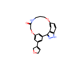 O=C1COc2cc(C3=CCOC3)cc(c2)-c2n[nH]c3ccc(cc23)OCCCN1